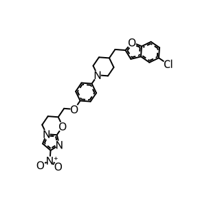 O=[N+]([O-])c1cn2c(n1)OC(COc1ccc(N3CCC(Cc4cc5cc(Cl)ccc5o4)CC3)cc1)CC2